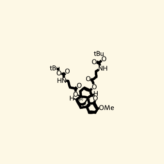 COc1ccc2c3c1O[C@H]1C(OC(=O)CCNC(=O)OC(C)(C)C)=CC[C@@]4(OC(=O)CCNC(=O)OC(C)(C)C)[C@H](CCC[C@]314)C2